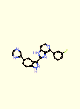 Fc1cccc(-c2nccc3[nH]c(-c4n[nH]c5ccc(-c6cnccn6)cc45)nc23)c1